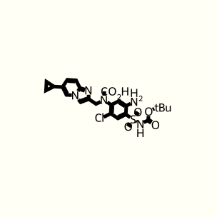 CC(C)(C)OC(=O)NS(=O)(=O)c1cc(Cl)c(N(Cc2cn3cc(C4CC4)ccc3n2)C(=O)O)cc1N